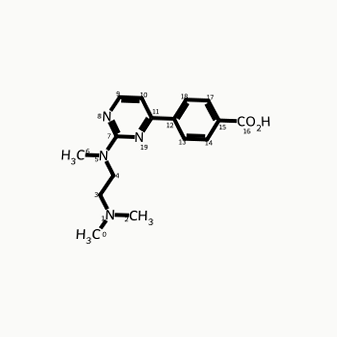 CN(C)CCN(C)c1nccc(-c2ccc(C(=O)O)cc2)n1